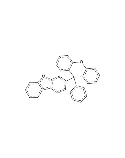 c1ccc(C2(c3ccc4c(c3)oc3ccccc34)c3ccccc3Oc3ccccc32)cc1